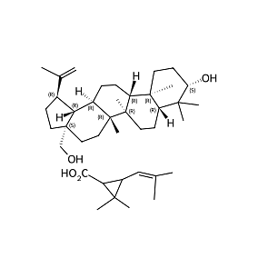 C=C(C)[C@@H]1CC[C@]2(CO)CC[C@]3(C)[C@H](CC[C@@H]4[C@@]5(C)CC[C@H](O)C(C)(C)[C@@H]5CC[C@]43C)[C@@H]12.CC(C)=CC1C(C(=O)O)C1(C)C